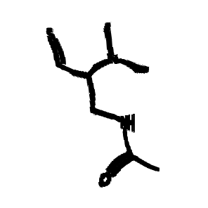 CC(=O)NCC(C=S)N(C)C